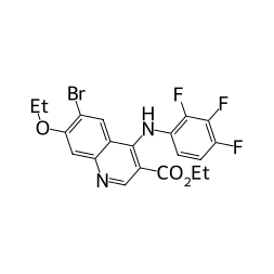 CCOC(=O)c1cnc2cc(OCC)c(Br)cc2c1Nc1ccc(F)c(F)c1F